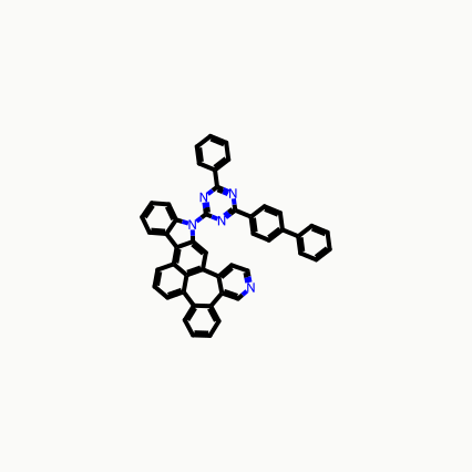 c1ccc(-c2ccc(-c3nc(-c4ccccc4)nc(-n4c5ccccc5c5c6cccc7c6c(cc54)-c4ccncc4-c4ccccc4-7)n3)cc2)cc1